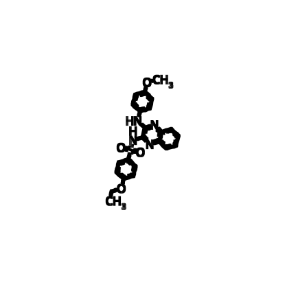 CCOc1ccc(S(=O)(=O)Nc2nc3ccccc3nc2Nc2ccc(OC)cc2)cc1